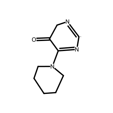 O=C1CN=[C]N=C1N1CCCCC1